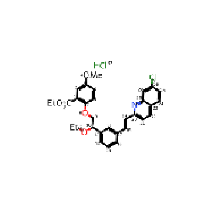 CCOC(=O)c1cc(OC)ccc1OC[C@H](OCC)c1cccc(/C=C/c2ccc3ccc(Cl)cc3n2)c1.Cl